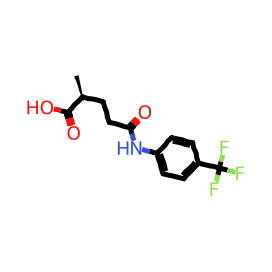 C[C@@H](CCC(=O)Nc1ccc(C(F)(F)F)cc1)C(=O)O